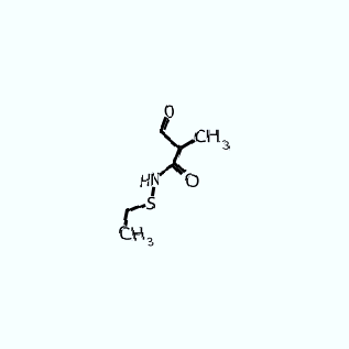 CCSNC(=O)C(C)C=O